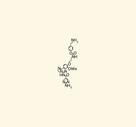 COc1c(OCCCNC(=O)Oc2ccc(CCN)cc2)ccc2c1N=C(NC(=O)c1cnc(N)nc1)N1CCN=C21